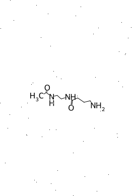 CC(=O)NCCNC(=O)CCCN